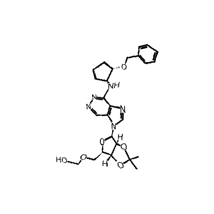 CC1(C)O[C@@H]2[C@H](O1)[C@@H](COCO)O[C@H]2n1cnc2c(N[C@H]3CCC[C@@H]3OCc3ccccc3)nncc21